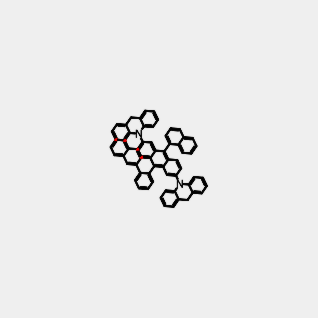 c1ccc2c(c1)Cc1ccccc1N2c1ccc2c(-c3cccc4ccccc34)c3cc(N4c5ccccc5Cc5ccccc54)ccc3c(-c3ccccc3-c3ccc4ccccc4c3)c2c1